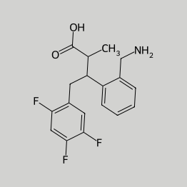 CC(C(=O)O)C(Cc1cc(F)c(F)cc1F)c1ccccc1CN